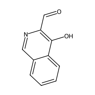 O=Cc1ncc2ccccc2c1O